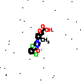 Cc1c(N2CCN(C(=O)c3c(Cl)cccc3Cl)CC2)ccc2oc(C(=O)O)cc12